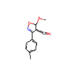 COC1ON=C(c2ccc(C)cc2)C1=C=O